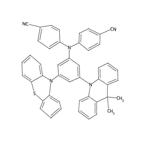 CC1(C)c2ccccc2N(c2cc(N(c3ccc(C#N)cc3)c3ccc(C#N)cc3)cc(N3c4ccccc4Sc4ccccc43)c2)c2ccccc21